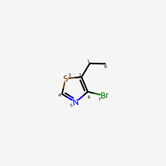 CCc1scnc1Br